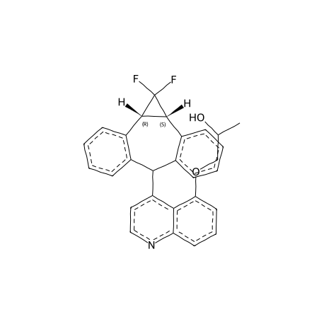 CC(O)COc1cccc2nccc(C3c4ccccc4[C@@H]4[C@H](c5ccccc53)C4(F)F)c12